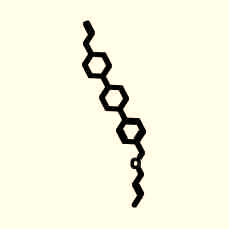 C=CCC1CCC(C2CCC(c3ccc(COCC=CC)cc3)CC2)CC1